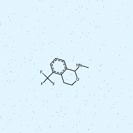 CNC1OCCc2c1cccc2C(F)(F)F